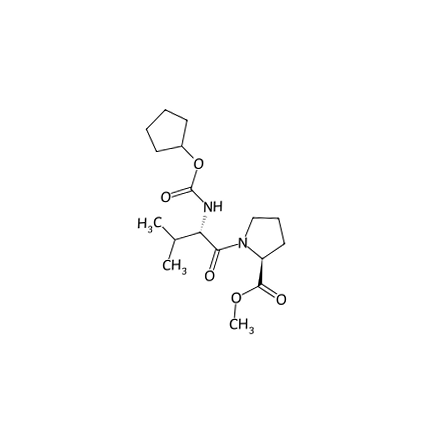 COC(=O)[C@@H]1CCCN1C(=O)[C@@H](NC(=O)OC1CCCC1)C(C)C